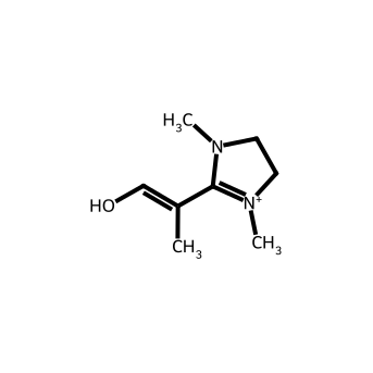 C/C(=C\O)C1=[N+](C)CCN1C